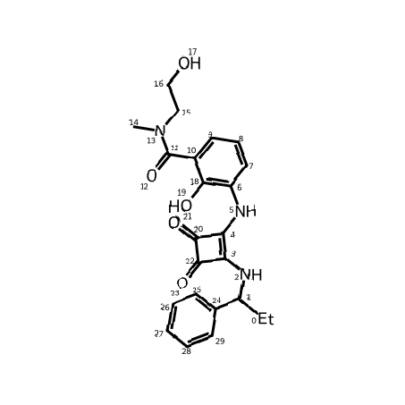 CCC(Nc1c(Nc2cccc(C(=O)N(C)CCO)c2O)c(=O)c1=O)c1ccccc1